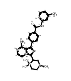 CN1CCS(O)(O)C(c2nc(-c3ccc(C(=O)Nc4cc(C(F)(F)F)ccn4)cc3)c3c(N)nccn23)C1